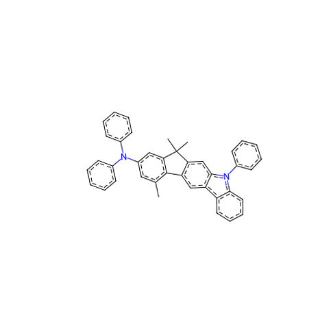 Cc1cc(N(c2ccccc2)c2ccccc2)cc2c1-c1cc3c4ccccc4n(-c4ccccc4)c3cc1C2(C)C